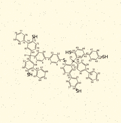 CC(c1ccc(-c2ccc(Sc3ccc(-c4ccc(S)cc4)cc3C(C)(c3ccc(-c4ccccc4)cc3)c3cc(-c4ccc(S)cc4)ccc3S)cc2)cc1)(c1ccc(S)c(-c2ccccc2)c1)c1ccc(S)c(-c2ccccc2)c1